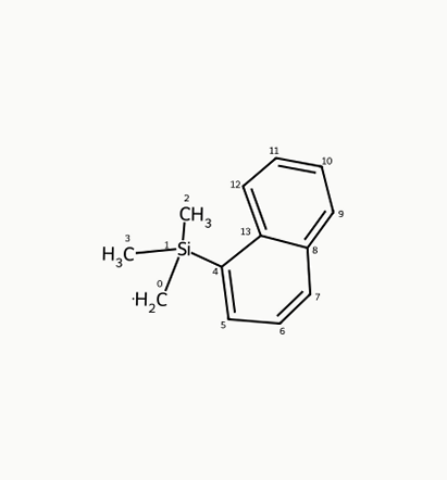 [CH2][Si](C)(C)c1cccc2ccccc12